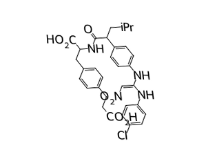 CC(C)CC(C(=O)NC(Cc1ccc(CCC(=O)O)cc1)C(=O)O)c1ccc(NC(=C[N+](=O)[O-])Nc2ccc(Cl)cc2)cc1